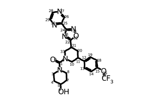 O=C(N1CCC(O)CC1)N1CC(c2ccc(OC(F)(F)F)cc2)CC(c2nc(-c3cnccn3)no2)C1